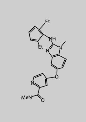 CCc1cccc(CC)c1Nc1nc2cc(Oc3ccnc(C(=O)NC)c3)ccc2n1C